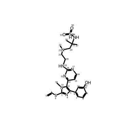 C=CSc1nc(-c2cccc(O)c2)c(-c2ccnc(NCCN(C)CC(C)(C)N[SH](=O)=O)n2)n1C